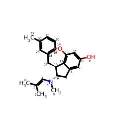 CC(C)=CN(C)[C@H]1Cc2cc(O)cc(O)c2[C@@H]1Cc1cccc(C)c1